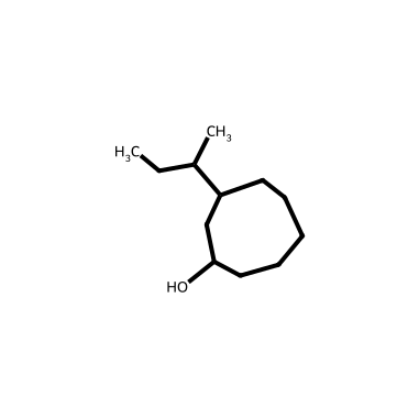 CCC(C)C1CCCCCC(O)C1